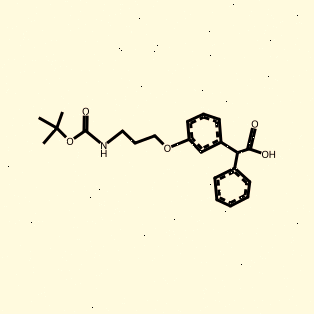 CC(C)(C)OC(=O)NCCCOc1cccc(C(C(=O)O)c2ccccc2)c1